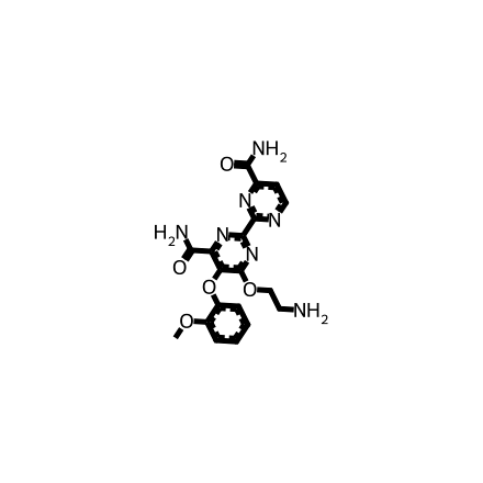 COc1ccccc1Oc1c(OCCN)nc(-c2nccc(C(N)=O)n2)nc1C(N)=O